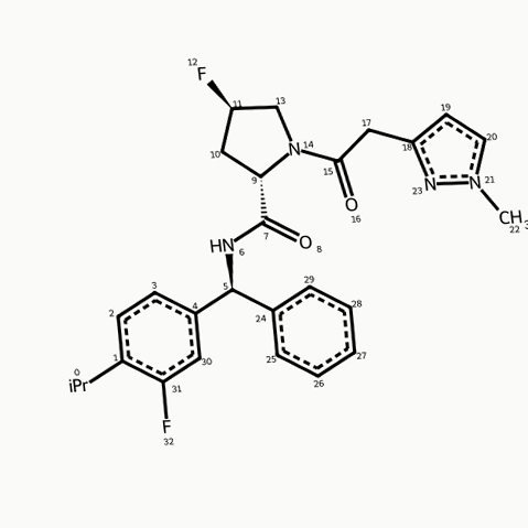 CC(C)c1ccc([C@@H](NC(=O)[C@@H]2C[C@@H](F)CN2C(=O)Cc2ccn(C)n2)c2ccccc2)cc1F